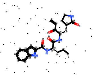 C=CC(=O)[C@H](C[C@@H]1CCNC1=O)NC(=O)[C@H](CCC)NC(=O)c1cc2ccccc2[nH]1